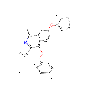 Cc1nc(C(=O)O)c(OCc2ccccc2)c2ccc(Oc3ccccc3)cc12